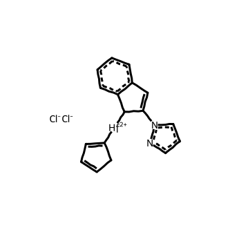 C1=CC[C]([Hf+2][CH]2C(n3cccn3)=Cc3ccccc32)=C1.[Cl-].[Cl-]